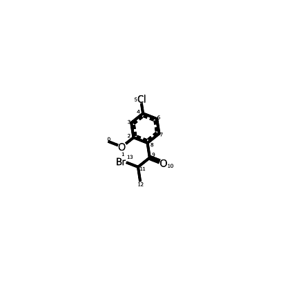 COc1cc(Cl)ccc1C(=O)C(C)Br